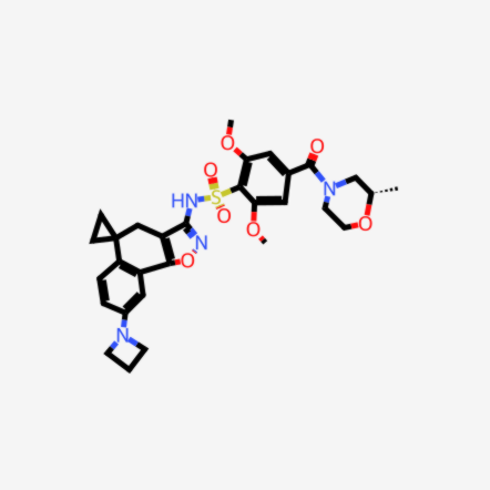 COc1cc(C(=O)N2CCO[C@@H](C)C2)cc(OC)c1S(=O)(=O)Nc1noc2c1CC1(CC1)c1ccc(N3CCC3)cc1-2